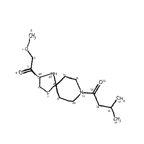 COCC(=O)[C@@H]1CSC2(CCN(C(=O)CC(C)C)CC2)N1